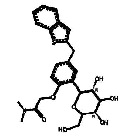 CN(C)C(=O)COc1ccc(Cc2cc3ccccc3s2)cc1C1OC(CO)[C@@H](O)C(O)[C@H]1O